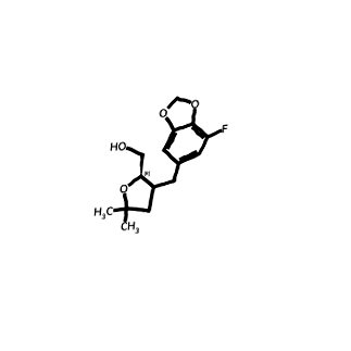 CC1(C)CC(Cc2cc(F)c3c(c2)OCO3)[C@H](CO)O1